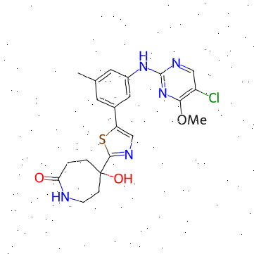 COc1nc(Nc2cc(C)cc(-c3cnc(C4(O)CCNC(=O)CC4)s3)c2)ncc1Cl